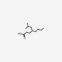 CCCCC(CCC(=O)O)CC(C)C